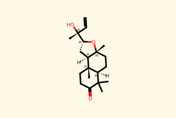 C=C[C@@](C)(O)[C@H]1C[C@@H]2[C@@]3(C)CCC(=O)C(C)(C)[C@@H]3CC[C@@]2(C)O1